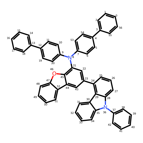 c1ccc(-c2ccc(N(c3ccc(-c4ccccc4)cc3)c3cc(-c4cccc5c4c4ccccc4n5-c4ccccc4)cc4c3oc3ccccc34)cc2)cc1